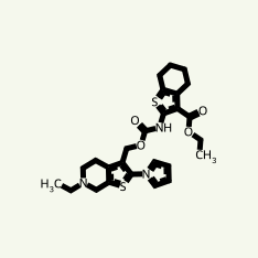 CCOC(=O)c1c(NC(=O)OCc2c(-n3cccc3)sc3c2CCN(CC)C3)sc2c1CCCC2